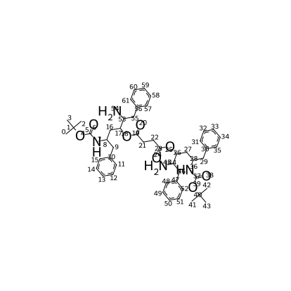 CC(C)(C)OC(=O)NC(Cc1ccccc1)CC(OC(=O)CCC(=O)OC(CC(Cc1ccccc1)NC(=O)OC(C)(C)C)C(N)Cc1ccccc1)C(N)Cc1ccccc1